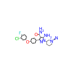 N#CN1CCCC(n2nc(-c3ccc(Oc4ccc(F)c(Cl)c4)cc3)c(C(N)=O)c2N)C1